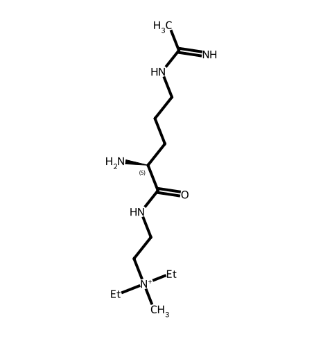 CC[N+](C)(CC)CCNC(=O)[C@@H](N)CCCNC(C)=N